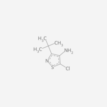 CC(C)(C)c1nsc(Cl)c1N